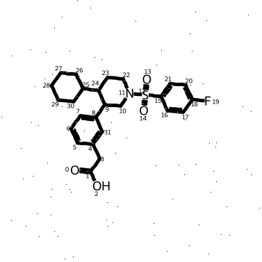 O=C(O)Cc1cccc(C2CN(S(=O)(=O)c3ccc(F)cc3)CCC2C2CCCCC2)c1